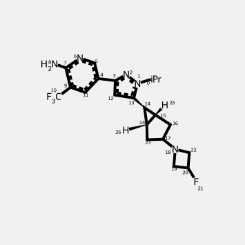 CC(C)n1nc(-c2cnc(N)c(C(F)(F)F)c2)cc1[C@H]1[C@@H]2CC(N3CC(F)C3)C[C@@H]21